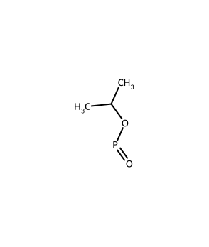 CC(C)OP=O